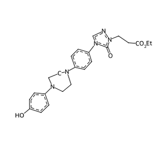 CCOC(=O)CCn1ncn(-c2ccc(N3CCN(c4ccc(O)cc4)CC3)cc2)c1=O